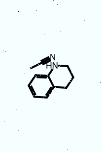 CC#N.c1ccc2c(c1)CCCN2